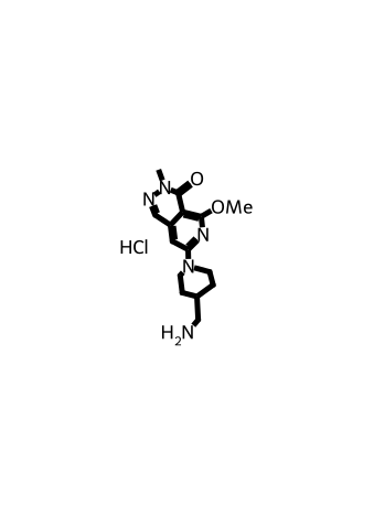 COc1nc(N2CCC(CN)CC2)cc2cnn(C)c(=O)c12.Cl